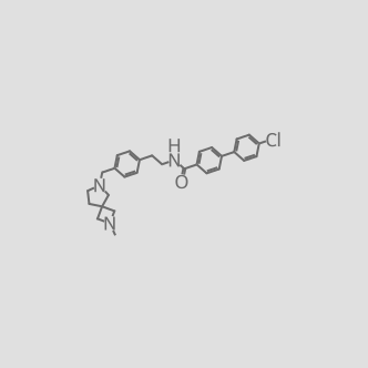 CN1CC2(CCN(Cc3ccc(CCNC(=O)c4ccc(-c5ccc(Cl)cc5)cc4)cc3)C2)C1